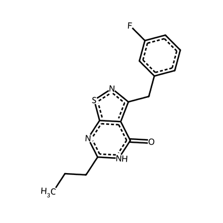 CCCc1nc2snc(Cc3cccc(F)c3)c2c(=O)[nH]1